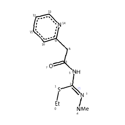 CCS/C(=N\NC)NC(=O)Cc1ccccn1